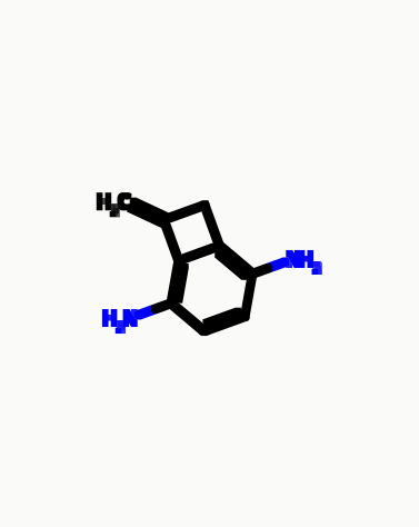 C=C1Cc2c(N)ccc(N)c21